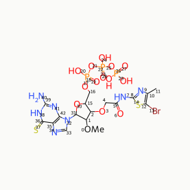 COC1C(OCC(=O)Nc2nc(C)c(Br)s2)C(COP(=O)(O)OP(=O)(O)OP(=O)(O)O)OC1n1cnc2c(=S)[nH]c(N)nc21